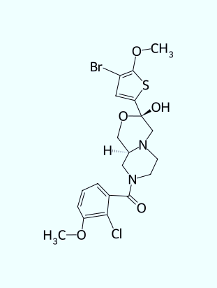 COc1cccc(C(=O)N2CCN3C[C@@](O)(c4cc(Br)c(OC)s4)OC[C@@H]3C2)c1Cl